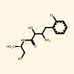 CCc1ccccc1CC(N)C(O)C(=O)N[C@@H](CC(C)C)C(=O)O